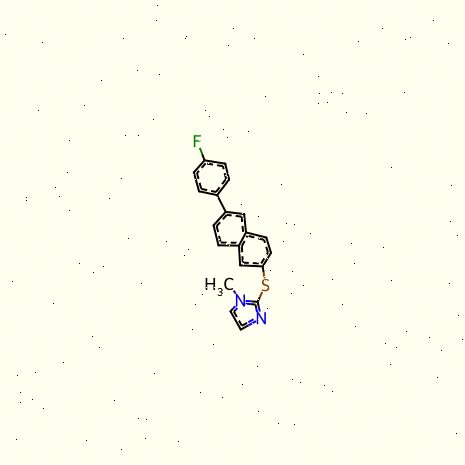 Cn1ccnc1Sc1ccc2cc(-c3ccc(F)cc3)ccc2c1